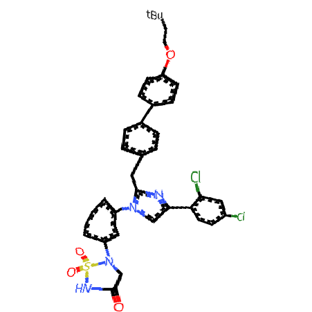 CC(C)(C)CCOc1ccc(-c2ccc(Cc3nc(-c4ccc(Cl)cc4Cl)cn3-c3cccc(N4CC(=O)NS4(=O)=O)c3)cc2)cc1